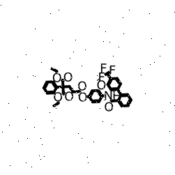 CCOC(=O)C(CCC(=O)Oc1ccc(NC(=O)c2ccccc2-c2ccc(C(F)(F)F)cc2)c(OC)c1)(C(=O)OCC)c1ccccc1